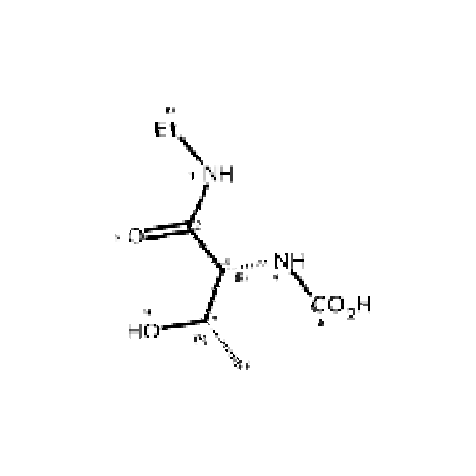 CCNC(=O)[C@H](NC(=O)O)[C@H](C)O